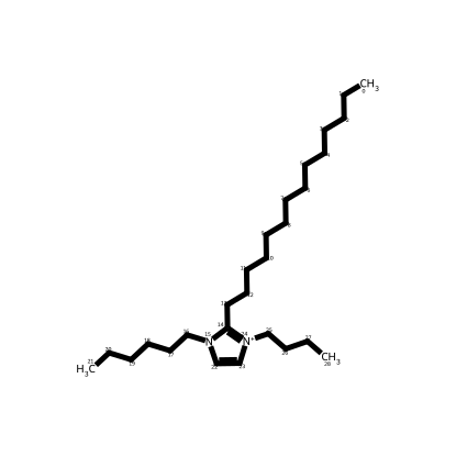 CCCCCCCCCCCCCCc1n(CCCCCC)cc[n+]1CCCC